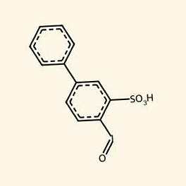 O=Ic1ccc(-c2ccccc2)cc1S(=O)(=O)O